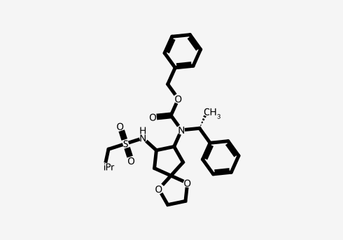 CC(C)CS(=O)(=O)NC1CC2(CC1N(C(=O)OCc1ccccc1)[C@H](C)c1ccccc1)OCCO2